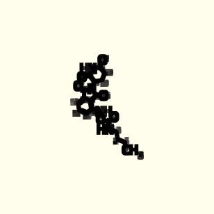 CCCCNC(=O)ONc1cccc2c1C(=O)N(C1CCC(=O)NC1=O)C2=O